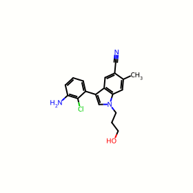 Cc1cc2c(cc1C#N)c(-c1cccc(N)c1Cl)cn2CCCO